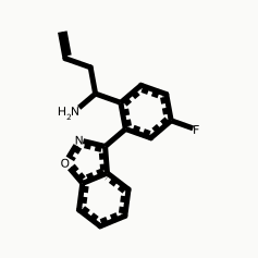 C=CCC(N)c1ccc(F)cc1-c1noc2ccccc12